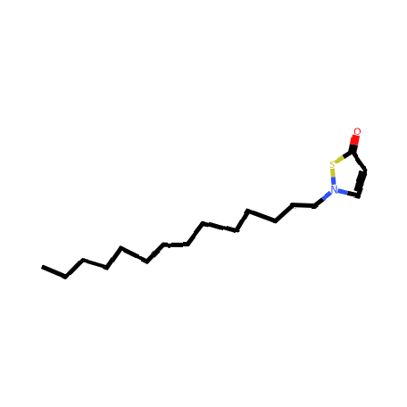 CCCCCCCCCCCCCCn1ccc(=O)s1